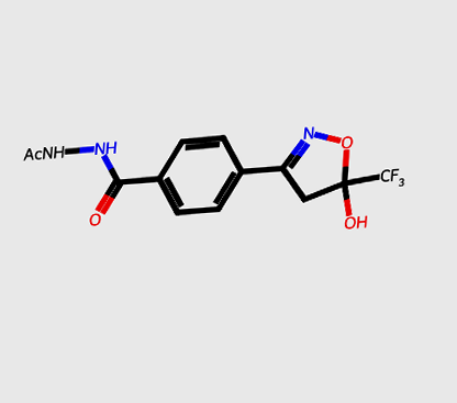 CC(=O)NNC(=O)c1ccc(C2=NOC(O)(C(F)(F)F)C2)cc1